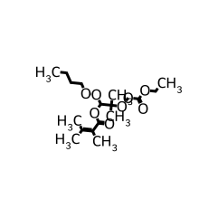 CCCCOOC(OC(=O)C(C)=C(C)C)C(C)(C)OOC(=O)OCC